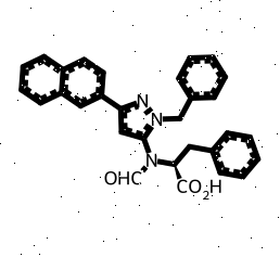 O=CN(c1cc(-c2ccc3ccccc3c2)nn1Cc1ccccc1)[C@@H](Cc1ccccc1)C(=O)O